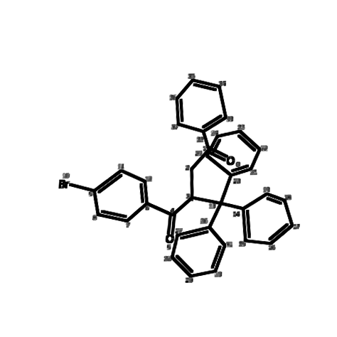 O=C(C[C](C(=O)c1ccc(Br)cc1)C(c1ccccc1)(c1ccccc1)c1ccccc1)c1ccccc1